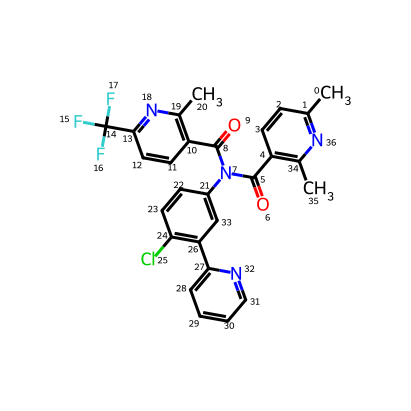 Cc1ccc(C(=O)N(C(=O)c2ccc(C(F)(F)F)nc2C)c2ccc(Cl)c(-c3ccccn3)c2)c(C)n1